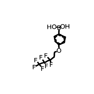 OB(O)c1ccc(OCCC(F)(F)C(F)(F)C(F)(F)F)cc1